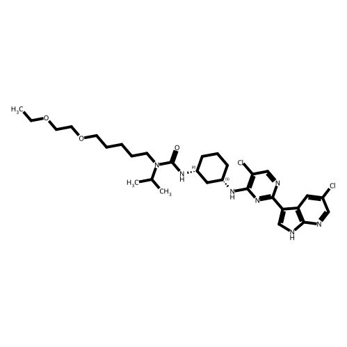 CCOCCOCCCCCN(C(=O)N[C@@H]1CCC[C@H](Nc2nc(-c3c[nH]c4ncc(Cl)cc34)ncc2Cl)C1)C(C)C